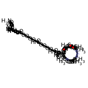 CO[C@H]1C[C@@H]2CC[C@@H](C)[C@@](O)(O2)C(=O)C(=O)N2CCCC[C@H]2C(=O)O[C@H]([C@H](N)C[C@@H]2CC[C@@H](OC(=O)NCCOCCOCCOCCOCCC(=O)NCCOCCOCCOCCOCCC(=O)N3CCc4cc(Cn5nc(-c6ccc7oc(N)nc7c6)c6c(N)ncnc65)ccc4C3)[C@H](OC)C2)CC(=O)[C@H](C)/C=C(\C)[C@@H](O)[C@@H](O)C(=O)[C@H](C)C[C@H](C)/C=C/C=C/C=C/1C